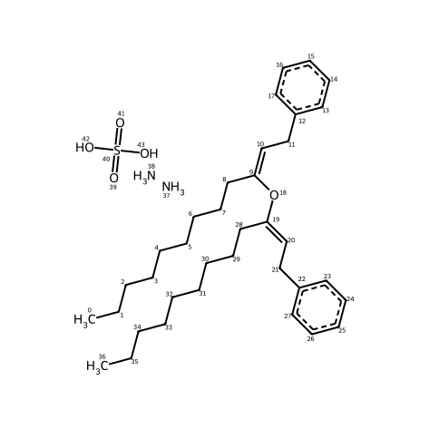 CCCCCCCCCC(=CCc1ccccc1)OC(=CCc1ccccc1)CCCCCCCCC.N.N.O=S(=O)(O)O